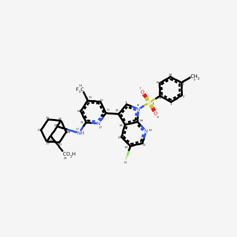 Cc1ccc(S(=O)(=O)n2cc(-c3cc(C(F)(F)F)cc(NC4C5CCC(CC5)C4C(=O)O)n3)c3cc(F)cnc32)cc1